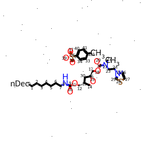 CCCCCCCCCCCCCCCCCNC(=O)OC[C@H]1CO[C@H](COC(=O)N(C)CC[n+]2ccsc2)C1.Cc1ccc(S(=O)(=O)[O-])cc1